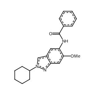 COc1cc2nn(C3CCCCC3)cc2cc1NC(=O)c1ccccc1